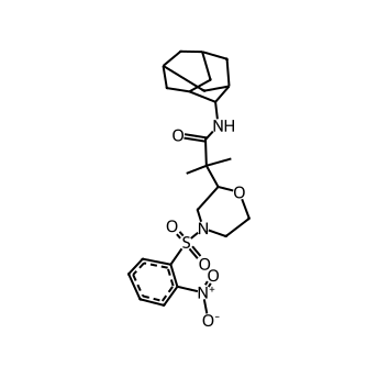 CC(C)(C(=O)NC1C2CC3CC(C2)CC1C3)C1CN(S(=O)(=O)c2ccccc2[N+](=O)[O-])CCO1